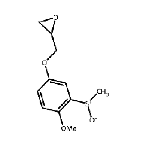 COc1ccc(OCC2CO2)cc1[S+](C)[O-]